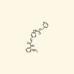 Nc1ccccc1NC(=O)/C=C/c1ccc(NC(=O)OCc2cccnc2)cc1